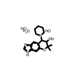 CC1(C)Oc2cc3[nH]cnc3cc2C(N2CCCCC2)C1O.Cl.Cl.O